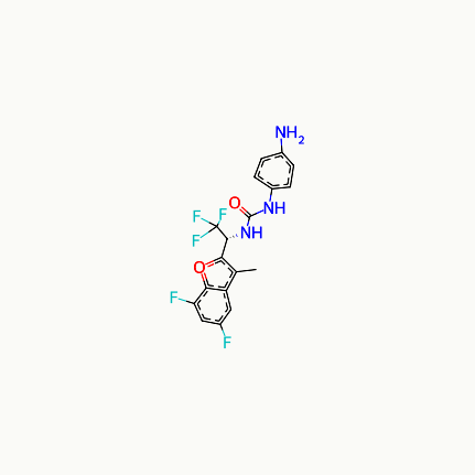 Cc1c([C@@H](NC(=O)Nc2ccc(N)cc2)C(F)(F)F)oc2c(F)cc(F)cc12